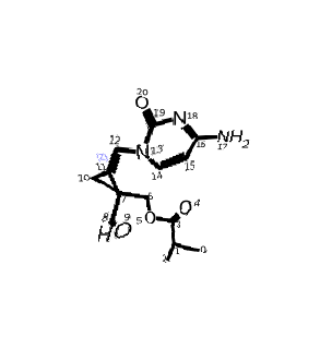 CC(C)C(=O)OCC1(CO)C/C1=C/n1ccc(N)nc1=O